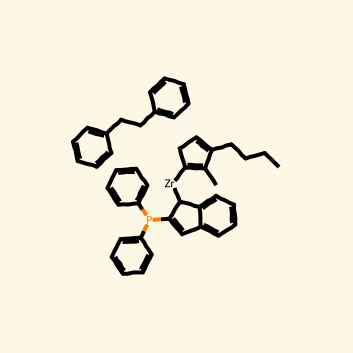 CCCCC1=CC[C]([Zr][CH]2C(P(c3ccccc3)c3ccccc3)=Cc3ccccc32)=C1C.c1ccc(CCc2ccccc2)cc1